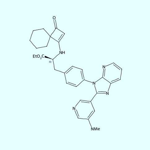 CCOC(=O)[C@H](Cc1ccc(-n2c(-c3cncc(NC)c3)nc3cccnc32)cc1)NC1=CC(=O)C12CCCCC2